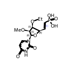 CCO[C@@H]1[C@H](OC)[C@H](n2ccc(=O)[nH]c2=O)O[C@@H]1/C=C/P(=O)(O)O